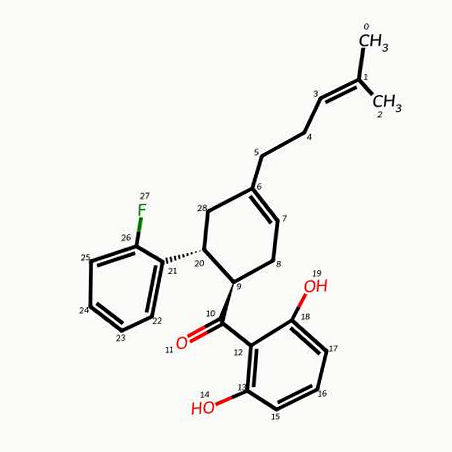 CC(C)=CCCC1=CC[C@@H](C(=O)c2c(O)cccc2O)[C@H](c2ccccc2F)C1